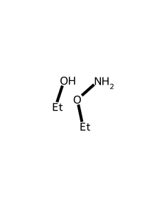 CCO.CCON